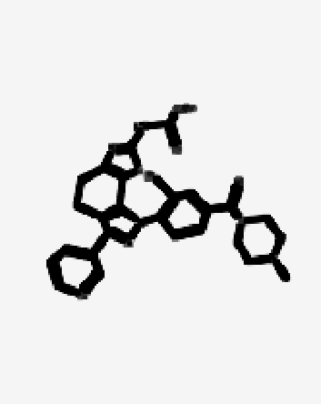 COC(=O)Nc1nc2c(s1)-c1c(c(-c3cccnc3)nn1-c1ccc(C(=O)N3CCN(C)CC3)cc1Br)CC2